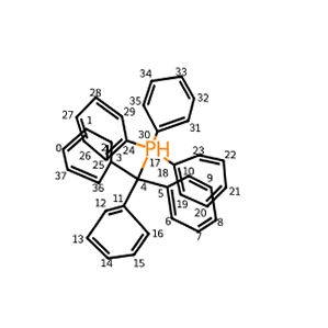 c1ccc(C(c2ccccc2)(c2ccccc2)[PH](c2ccccc2)(c2ccccc2)c2ccccc2)cc1